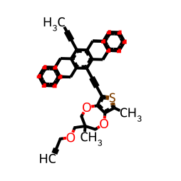 C#CCOCC1(C)COc2c(C)sc(C#Cc3c4c(c(C#CC)c5c3C3c6ccccc6C5c5ccccc53)C3c5ccccc5C4c4ccccc43)c2OC1